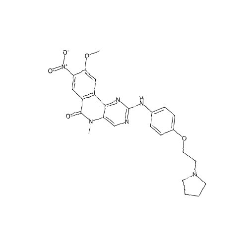 COc1cc2c(cc1[N+](=O)[O-])c(=O)n(C)c1cnc(Nc3ccc(OCCN4CCCC4)cc3)nc21